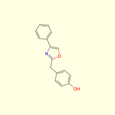 Oc1ccc(Cc2nc(-c3ccccc3)co2)cc1